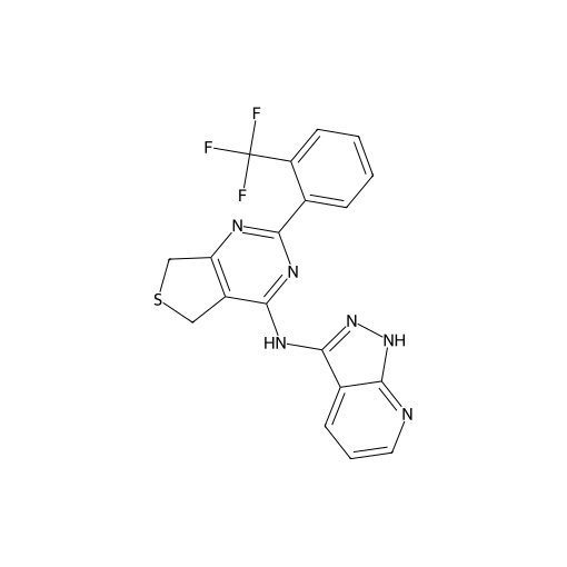 FC(F)(F)c1ccccc1-c1nc2c(c(Nc3n[nH]c4ncccc34)n1)CSC2